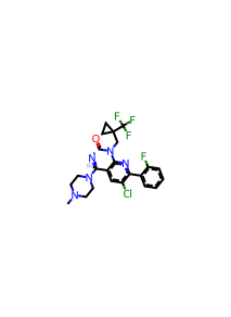 C/N=C(\c1cc(Cl)c(-c2ccccc2F)nc1N(C=O)CC1(C(F)(F)F)CC1)N1CCN(C)CC1